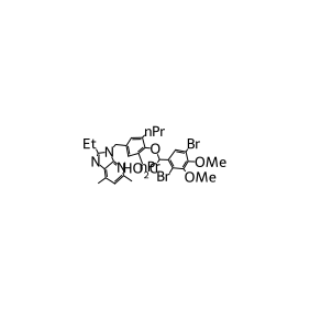 CCCc1cc(Cn2c(CC)nc3c(C)cc(C)nc32)cc(CCC)c1OC(C(=O)O)c1cc(Br)c(OC)c(OC)c1Br